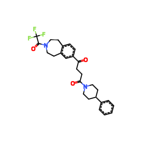 O=C(CCC(=O)N1CCC(c2ccccc2)CC1)c1ccc2c(c1)CCN(C(=O)C(F)(F)F)CC2